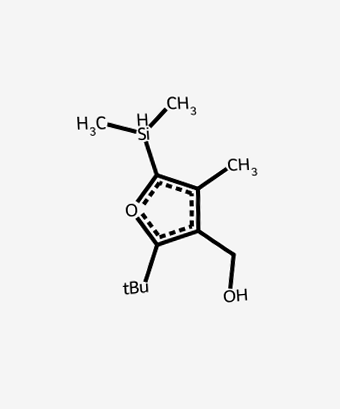 Cc1c([SiH](C)C)oc(C(C)(C)C)c1CO